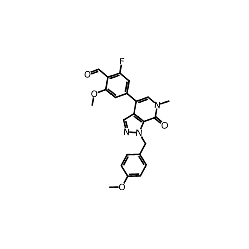 COc1ccc(Cn2ncc3c(-c4cc(F)c(C=O)c(OC)c4)cn(C)c(=O)c32)cc1